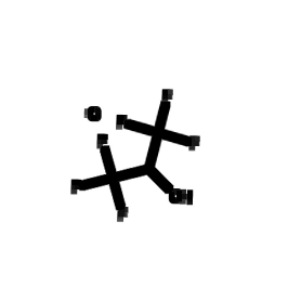 OC(C(F)(F)F)C(F)(F)F.[O]